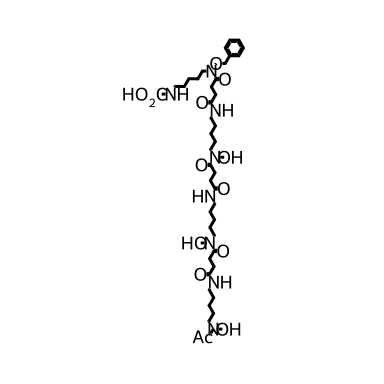 CC(=O)N(O)CCCCCNC(=O)CCC(=O)N(O)CCCCCNC(=O)CCC(=O)N(O)CCCCCNC(=O)CCC(=O)N(CCCCCNC(=O)O)OCc1ccccc1